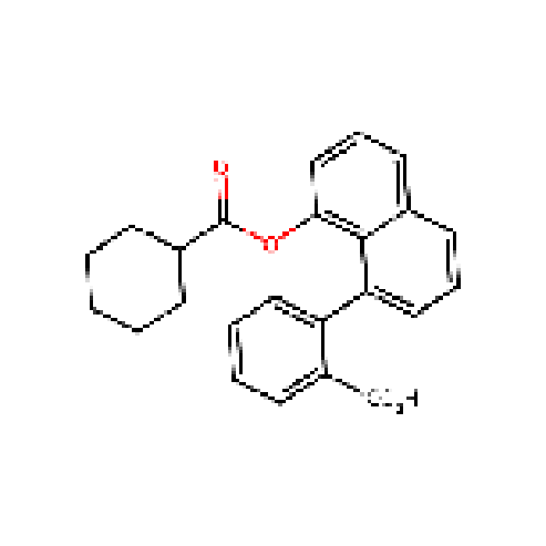 O=C(O)c1ccccc1-c1cccc2cccc(OC(=O)C3CCCCC3)c12